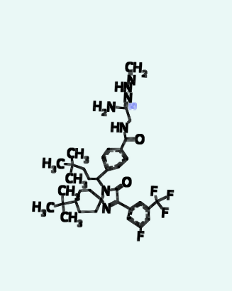 C=NN/N=C(\N)CNC(=O)c1ccc(C(CCC(C)(C)C)N2C(=O)C(c3cc(F)cc(C(F)(F)F)c3)=NC23CCC(C(C)(C)C)CC3)cc1